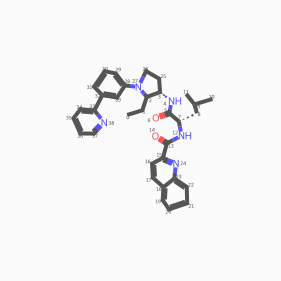 CCC1[C@@H](NC(=O)[C@H](CC(C)C)NC(=O)c2ccc3ccccc3n2)CCN1c1cccc(-c2ccccn2)c1